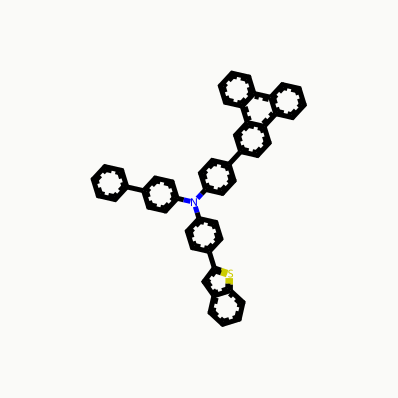 c1ccc(-c2ccc(N(c3ccc(-c4ccc5c6ccccc6c6ccccc6c5c4)cc3)c3ccc(-c4cc5ccccc5s4)cc3)cc2)cc1